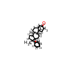 C[C@]12CCC(=O)C=C1CCC1[C@@H]2CC[C@@]2(C)[C@H]1CC[C@]2(C)c1ccccc1